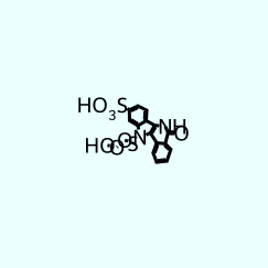 O=c1[nH]c2c3ccc(S(=O)(=O)O)cc3n(SOOO)c2c2ccccc12